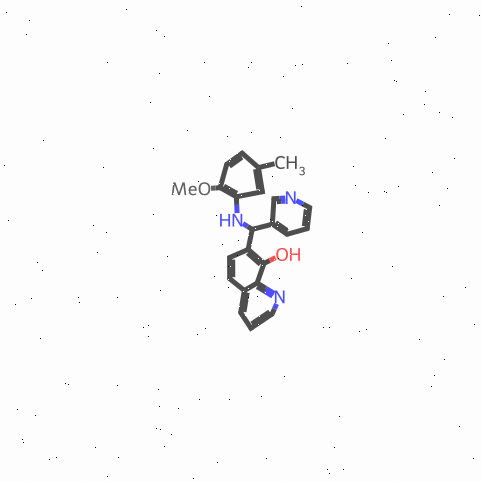 COc1ccc(C)cc1NC(c1cccnc1)c1ccc2cccnc2c1O